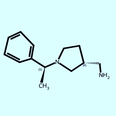 C[C@@H](c1ccccc1)N1CC[C@H](CN)C1